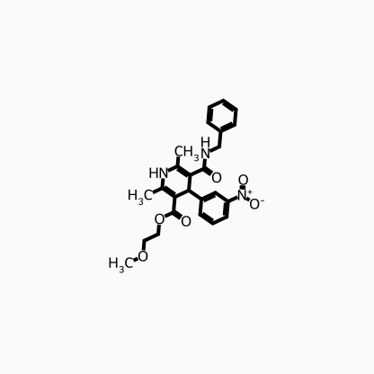 COCCOC(=O)C1=C(C)NC(C)=C(C(=O)NCc2ccccc2)C1c1cccc([N+](=O)[O-])c1